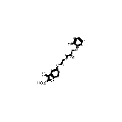 Cc1c(C(=O)O)oc2ccc(OCCNC[C@H](O)COc3ccccc3Cl)cc12